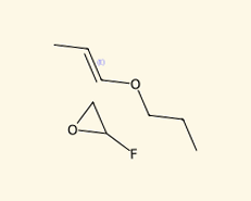 C/C=C/OCCC.FC1CO1